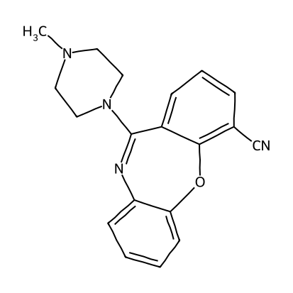 CN1CCN(C2=Nc3ccccc3Oc3c(C#N)cccc32)CC1